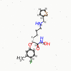 Cc1cc(O[C@H](CCCCNCc2cccs2)C(=O)NO)ccc1F